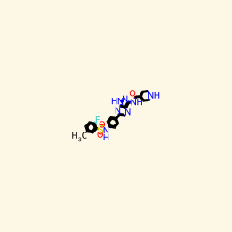 Cc1ccc(F)c(S(=O)(=O)Nc2ccc(-c3cnc4c(NC(=O)C5CCNCC5)n[nH]c4n3)cc2)c1